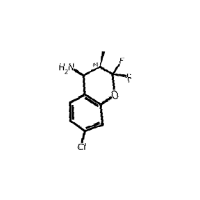 C[C@@H]1C(N)c2ccc(Cl)cc2OC1(F)F